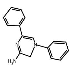 NC1=NC(c2ccccc2)=CN(c2ccccc2)C1